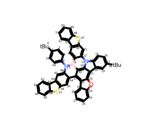 CC(C)(C)c1ccc(N2B3c4cc5c(cc4-n4c6ccc(C(C)(C)C)cc6c6c7oc8ccccc8c7c(c3c64)-c3cc4sc6ccccc6c4cc32)sc2ccccc25)cc1